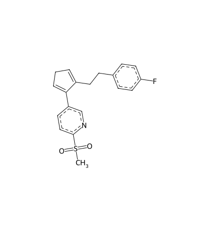 CS(=O)(=O)c1ccc(C2=CCC=C2CCc2ccc(F)cc2)cn1